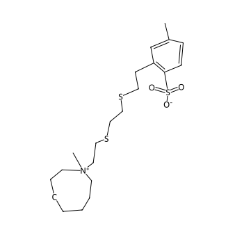 Cc1ccc(S(=O)(=O)[O-])c(CCSCCSCC[N+]2(C)CCCCCCC2)c1